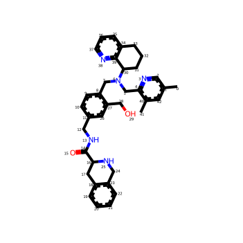 Cc1cnc(CN(Cc2ccc(CNC(=O)C3Cc4ccccc4CN3)cc2CO)C2CCCc3cccnc32)c(C)c1